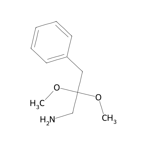 COC(CN)(Cc1ccccc1)OC